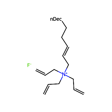 C=CC[N+](CC=C)(CC=C)CC=CCCCCCCCCCCCC.[F-]